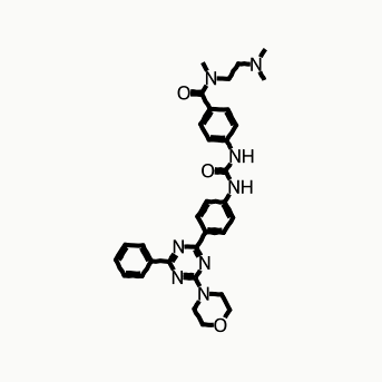 CN(C)CCN(C)C(=O)c1ccc(NC(=O)Nc2ccc(-c3nc(-c4ccccc4)nc(N4CCOCC4)n3)cc2)cc1